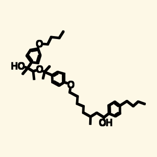 CCCCOc1ccc(C(C)(O)C(C)OC(C)(C)c2ccc(OCCCCCC(C)CC(O)c3ccc(CCCC)cc3)cc2)cc1